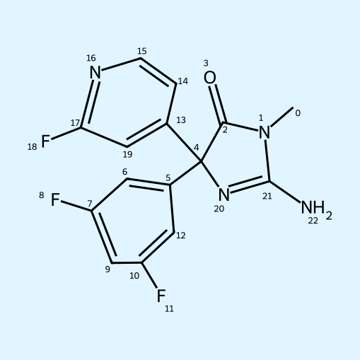 CN1C(=O)C(c2cc(F)cc(F)c2)(c2ccnc(F)c2)N=C1N